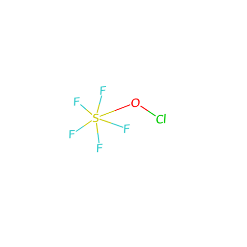 FS(F)(F)(F)(F)OCl